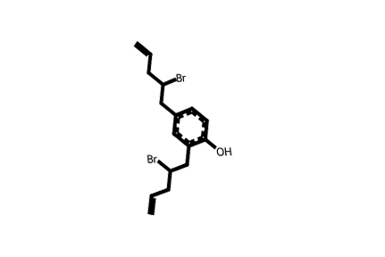 C=CCC(Br)Cc1ccc(O)c(CC(Br)CC=C)c1